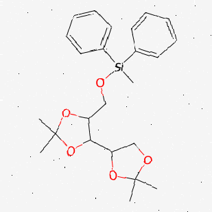 CC1(C)OCC(C2OC(C)(C)OC2CO[Si](C)(c2ccccc2)c2ccccc2)O1